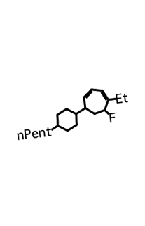 CCCCCC1CCC(C2C=CC=C(CC)C(F)C2)CC1